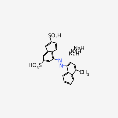 Cc1ccc(N=Nc2cc(S(=O)(=O)O)cc3cc(S(=O)(=O)O)ccc23)c2ccccc12.[NaH].[NaH].[NaH]